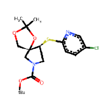 CC(C)(C)OC(=O)N1C[C@H](Sc2ccc(Cl)cn2)[C@]2(COC(C)(C)O2)C1